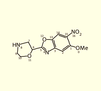 COc1cc2nc(C3CNCCO3)oc2cc1[N+](=O)[O-]